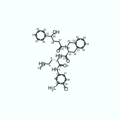 Cc1cc(NC(=O)[C@H](CCNI)NC(=O)[C@@H]2Cc3ccccc3CN2C(=O)CCC(O)c2ccccc2)ccc1Cl